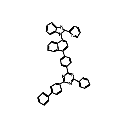 c1ccc(-c2ccc(-c3nc(-c4ccccc4)nc(-c4ccc(-c5ccc(-n6c(-c7ccccn7)nc7ccccc76)c6ccccc56)cc4)n3)cc2)cc1